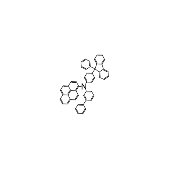 c1ccc(-c2cccc(N(c3ccc(C4(c5ccccc5)c5ccccc5-c5ccccc54)cc3)c3ccc4ccc5cccc6ccc3c4c56)c2)cc1